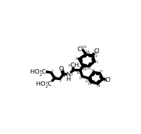 CC(NC(=O)CC(CC(=O)O)C(=O)O)C(Cc1ccc(Cl)cc1)c1ccc(Cl)c(Cl)c1